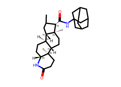 CC1C[C@H]2[C@@H]3CC[C@H]4NC(=O)CC[C@]4(C)[C@H]3CC[C@]2(C)[C@H]1C(=O)NC12CC3CC(CC(C3)C1)C2